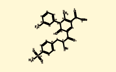 CNC(=O)c1cc(C(=O)N(Cc2ccc(S(C)(=O)=O)cc2)C(C)(C)C)c(=O)n(-c2cccc(C(F)(F)F)c2)c1C